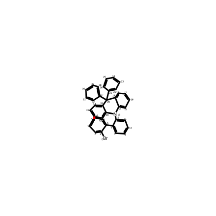 Brc1ccccc1-c1ccccc1N1c2ccccc2C(c2ccccc2)(c2ccccc2)c2ccccc21